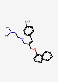 CC(C)N(CCNCC(=Cc1ccc(C(=O)O)cc1)COc1cccc2ccccc12)C(C)C